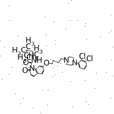 CC(C)(C)CC(C)(C)NC(=O)n1c(=O)ccc2ccc(OCCCCN3CCN(c4cccc(Cl)c4Cl)CC3)cc21